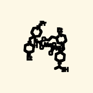 CCN1CCN(CC2(NC(=O)OCCC3CN(CC4(NC(=O)OC)CCN(C(C)S)CC4)CCN3CC)CCN(C(C)C)CC2)CC1